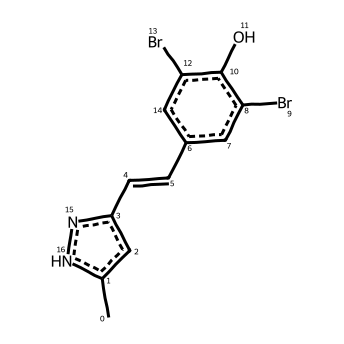 Cc1cc(C=Cc2cc(Br)c(O)c(Br)c2)n[nH]1